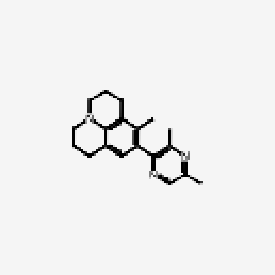 Cc1cnc(-c2cc3c4c(c2C)CCCN4CCC3)c(C)n1